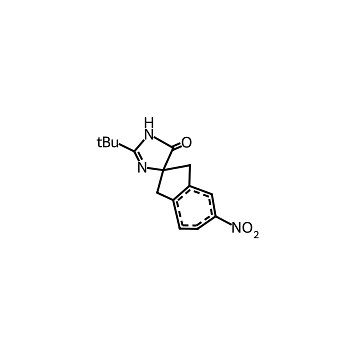 CC(C)(C)C1=NC2(Cc3ccc([N+](=O)[O-])cc3C2)C(=O)N1